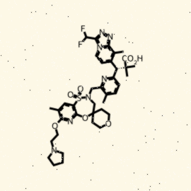 Cc1ccc([C@H](c2ccn3c(C(F)F)nnc3c2C)C(C)(C)C(=O)O)nc1CN1CC2(CCOCC2)Oc2nc(OCCN3CCCC3)c(C)cc2S1(=O)=O